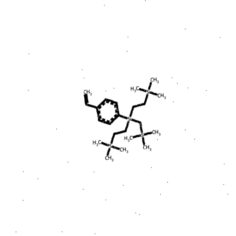 C=Cc1ccc([Si](CC[Si](C)(C)C)(CCS(C)(C)C)CS(C)(C)C)cc1